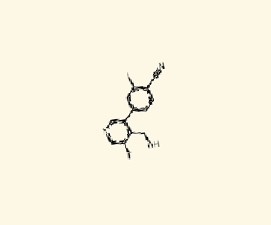 N#Cc1ccc(-c2cncc(F)c2CO)cc1I